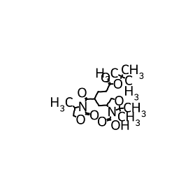 CC1COC(=O)N1C(=O)C(CCC(=O)OC(C)(C)C)CC1COC(C)(C)N1C(=O)O